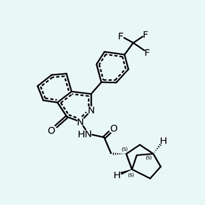 O=C(C[C@@H]1C[C@H]2CC[C@H]1C2)Nn1nc(-c2ccc(C(F)(F)F)cc2)c2ccccc2c1=O